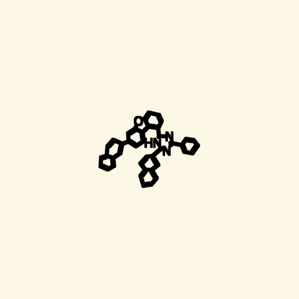 c1ccc(C2=NC(c3cccc4oc5cc(-c6ccc7ccccc7c6)ccc5c34)NC(c3ccc4ccccc4c3)=N2)cc1